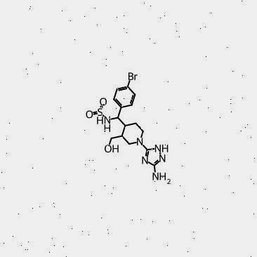 Nc1n[nH]c(N2CCC(C(N[SH](=O)=O)c3ccc(Br)cc3)C(CO)C2)n1